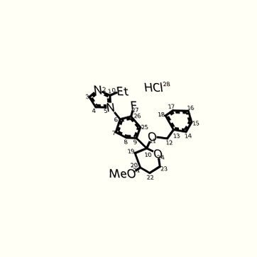 CCc1nccn1-c1ccc(C2(OCc3ccccc3)CC(OC)CCO2)cc1F.Cl